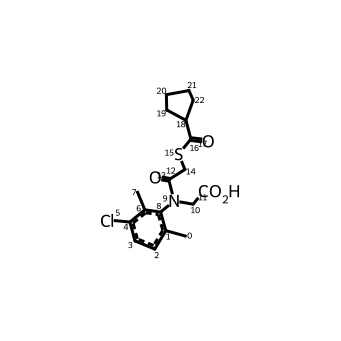 Cc1ccc(Cl)c(C)c1N(CC(=O)O)C(=O)CSC(=O)C1CCCC1